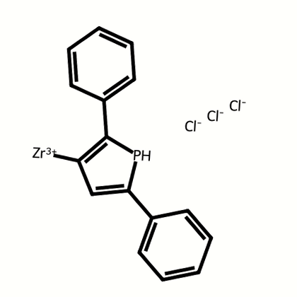 [Cl-].[Cl-].[Cl-].[Zr+3][c]1cc(-c2ccccc2)[pH]c1-c1ccccc1